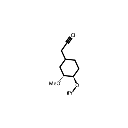 C#CCC1CC[C@@H](OC(C)C)[C@H](OC)C1